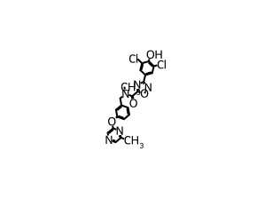 Cc1cncc(Oc2cccc(CN(C)C(=O)c3nc(-c4cc(Cl)c(O)c(Cl)c4)no3)c2)n1